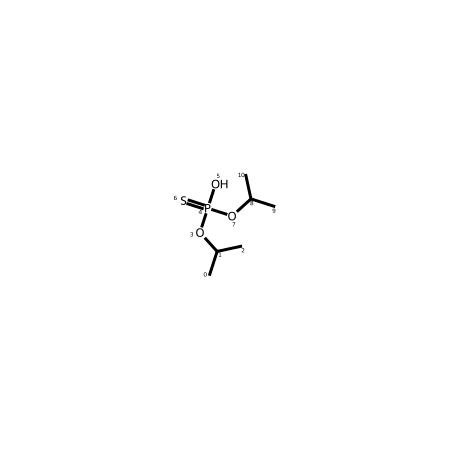 CC(C)OP(O)(=S)OC(C)C